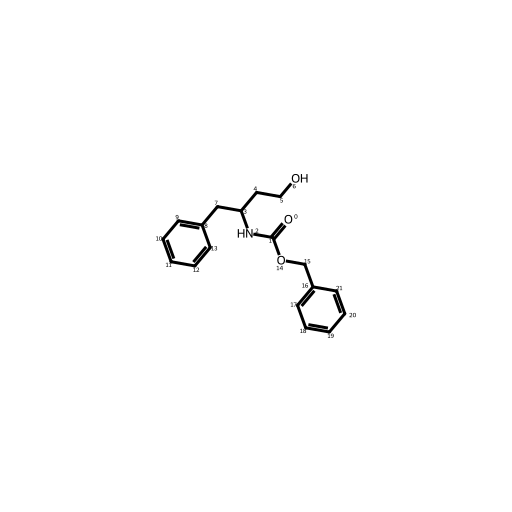 O=C(NC(CCO)Cc1ccccc1)OCc1ccccc1